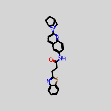 O=C(CCc1nc2ccccc2s1)Nc1ccc2nc(N3CC4CCC3C4)ccc2c1